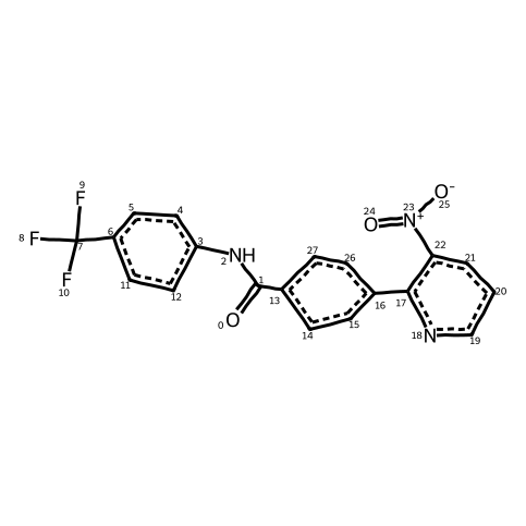 O=C(Nc1ccc(C(F)(F)F)cc1)c1ccc(-c2ncccc2[N+](=O)[O-])cc1